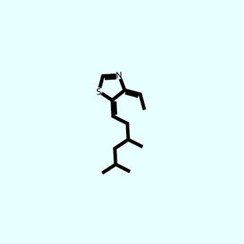 C/C=c1/ncs/c1=C/CC(C)CC(C)C